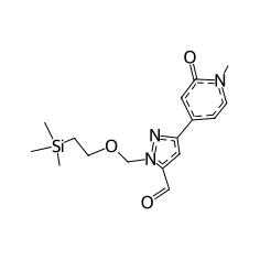 Cn1ccc(-c2cc(C=O)n(COCC[Si](C)(C)C)n2)cc1=O